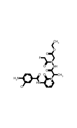 CCOC(=O)CN(NC(=O)C(C)n1cccc(NC(=O)c2ccc(N)c(Cl)c2)c1=O)C(=O)CF